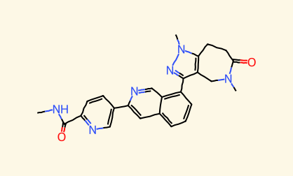 CNC(=O)c1ccc(-c2cc3cccc(-c4nn(C)c5c4CN(C)C(=O)CC5)c3cn2)cn1